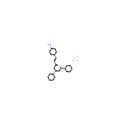 CN(C)c1ccc(C=Cc2cc(-c3ccccc3)cc(-c3ccccc3)[s+]2)cc1.[O-][Cl+3]([O-])([O-])[O-]